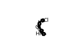 O=C(COc1ccc2c(c1)[nH]c1ccccc12)N1CCN(Cc2ccc(Cl)cc2)CC1